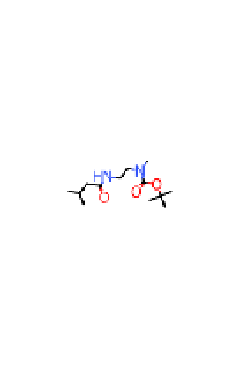 CC(C)CC(=O)NCCN(C)C(=O)OC(C)(C)C